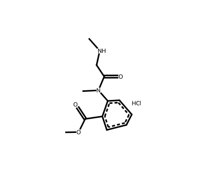 CNCC(=O)N(C)c1ccccc1C(=O)OC.Cl